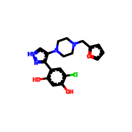 Oc1cc(O)c(-c2n[nH]cc2N2CCN(Cc3ccco3)CC2)cc1Cl